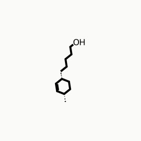 C[C@@H]1C=C[C@H](CCCCCO)CC1